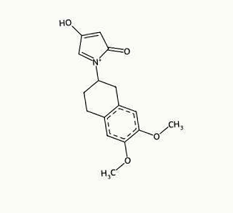 COc1cc2c(cc1OC)CC([N+]1=CC(O)=CC1=O)CC2